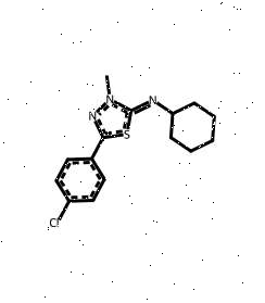 Cn1nc(-c2ccc(Cl)cc2)sc1=NC1CCCCC1